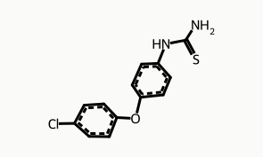 NC(=S)Nc1ccc(Oc2ccc(Cl)cc2)cc1